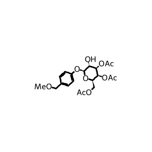 COCc1ccc(O[C@@H]2O[C@H](COC(C)=O)[C@H](OC(C)=O)[C@H](OC(C)=O)[C@H]2O)cc1